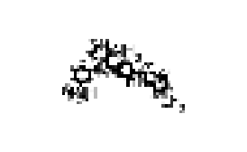 CC(C)C(=O)N[C@H]1CCC[C@@H](c2nc(-c3ccc(C(=O)Nc4cc(C(F)(F)F)ccn4)cc3)c3c(N)nccn23)C1